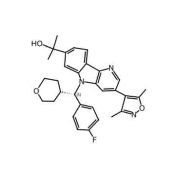 Cc1noc(C)c1-c1cnc2c3ccc(C(C)(C)O)cc3n([C@H](c3ccc(F)cc3)C3CCOCC3)c2c1